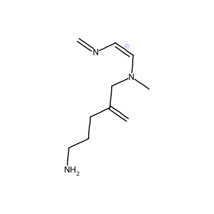 C=N/C=C\N(C)CC(=C)CCCN